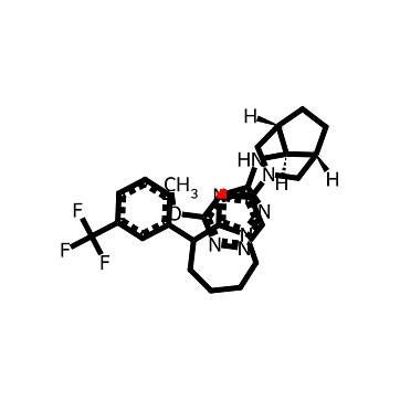 COc1cc(N2C[C@H]3CC[C@@H](C2)[C@@H]3Nc2nc3n(n2)CCCCC3c2cccc(C(F)(F)F)c2)cnn1